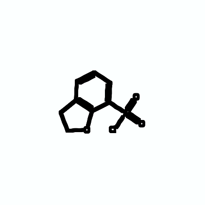 O=S(=O)(Cl)c1cccc2c1OCC2